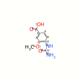 COc1cc(C(=O)O)ccc1NC(N)=O